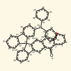 O=c1c2ccccc2oc2cc3c(cc12)-c1ccccc1C31c2ccccc2-c2ccc(N(c3ccccc3)c3ccccc3)cc21